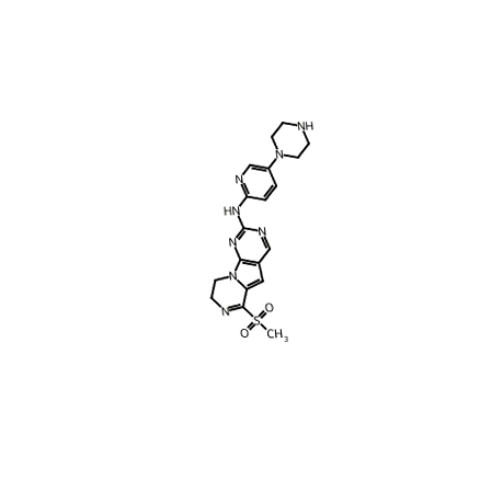 CS(=O)(=O)C1=NCCn2c1cc1cnc(Nc3ccc(N4CCNCC4)cn3)nc12